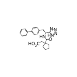 O=C(O)CC1(C(=O)N[C@@H](Cc2ccc(-c3ccccc3)cc2)c2nnn[nH]2)CCCC1